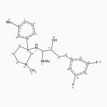 CC(=O)NC(NC1(c2cccc(C(C)(C)C)c2)CCCN(C)C1)C(O)CCc1cc(F)cc(F)c1